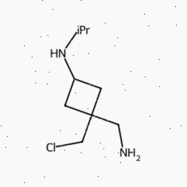 CC(C)NC1CC(CN)(CCl)C1